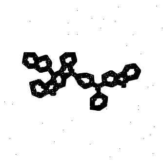 c1ccc(N(c2ccc(-n3c4ccccc4c4c(-c5ccc6ccccc6c5)c5c(cc43)oc3ccccc35)cc2)c2ccc3c(c2)sc2ccccc23)cc1